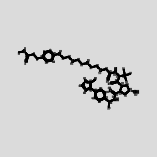 COC(=O)CCc1ccc(OCCOCCOCCOCC(=O)NC(C(=O)N2C[C@H](O)C[C@H]2C(=O)NC(C)c2ccc(-c3scnc3C)cc2)C(C)(C)C)cc1